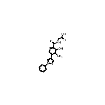 Cc1c(-c2cnn(-c3ccccc3)c2)cnc(C(=O)NCC(=O)O)c1O